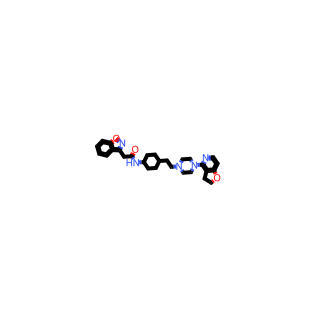 O=C(Cc1noc2ccccc12)NC1CCC(CCN2CCN(c3nccc4c3CCO4)CC2)CC1